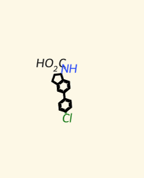 O=C(O)NC1CCc2cc(-c3ccc(Cl)cc3)ccc21